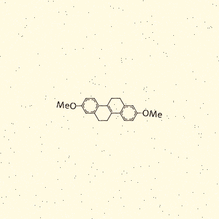 COc1ccc2c(c1)CCC1=C2CCc2cc(OC)ccc21